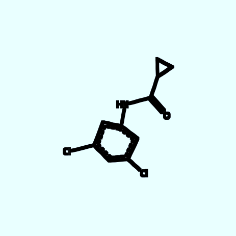 O=C(Nc1cc(Cl)cc(Cl)c1)C1CC1